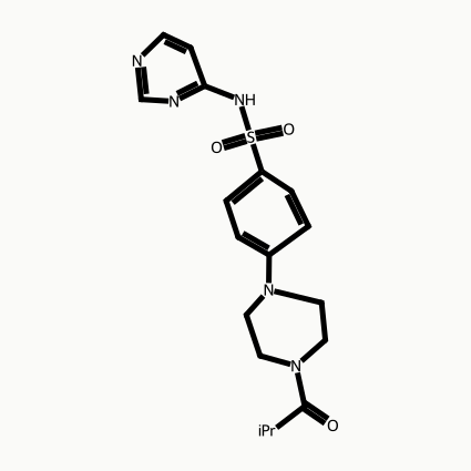 CC(C)C(=O)N1CCN(c2ccc(S(=O)(=O)Nc3ccncn3)cc2)CC1